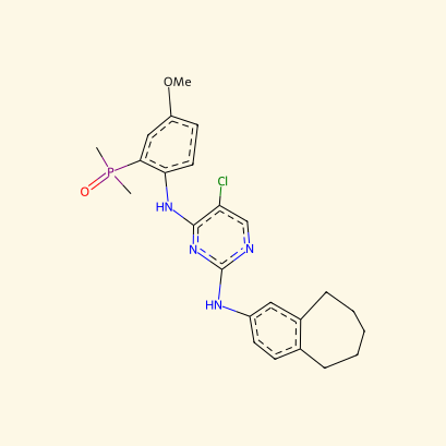 COc1ccc(Nc2nc(Nc3ccc4c(c3)CCCCC4)ncc2Cl)c(P(C)(C)=O)c1